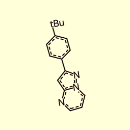 CC(C)(C)c1ccc(-c2cc3ncccn3n2)cc1